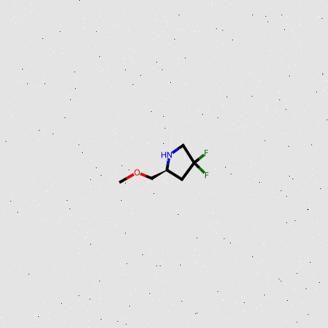 COC[C@@H]1CC(F)(F)CN1